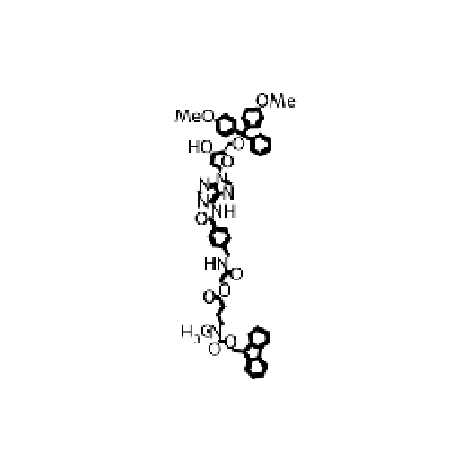 COc1ccc(C(OC[C@H]2O[C@@H](n3cnc4c(NC(=O)c5ccc(CNC(=O)COC(=O)CCCN(C)C(=O)OCC6c7ccccc7-c7ccccc76)cc5)ncnc43)C[C@H]2O)(c2ccccc2)c2ccc(OC)cc2)cc1